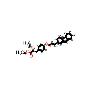 CCOC(=O)[C@H](Cc1ccc(OC/C=C/c2ccc3c(c2)Cc2ccccc2-3)cc1)OCC